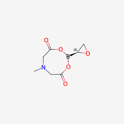 CN1CC(=O)OB([C@H]2CO2)OC(=O)C1